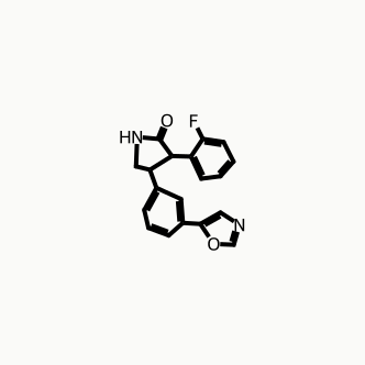 O=C1NCC(c2cccc(-c3cnco3)c2)C1c1ccccc1F